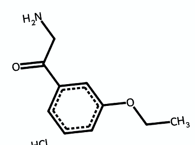 CCOc1cccc(C(=O)CN)c1.Cl